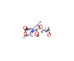 C/C=C(\OCC1CO1)C(=O)N(CC1CO1)CC1CO1